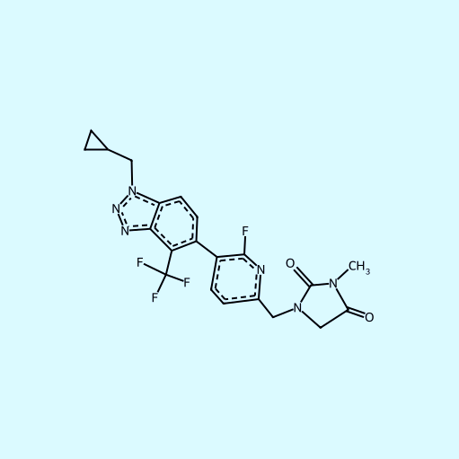 CN1C(=O)CN(Cc2ccc(-c3ccc4c(nnn4CC4CC4)c3C(F)(F)F)c(F)n2)C1=O